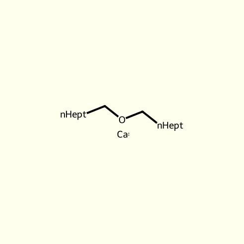 CCCCCCCCOCCCCCCCC.[Ca]